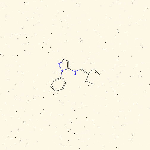 CCC(=CNc1ccnn1-c1ccccc1)CC